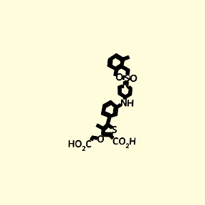 Cc1cccc(C)c1CS(=O)(=O)N1CCC(Nc2cccc(-c3sc(C(=O)O)c(OCC(=O)O)c3C)c2)CC1